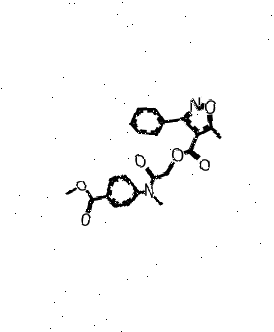 COC(=O)c1ccc(N(C)C(=O)COC(=O)c2c(-c3ccccc3)noc2C)cc1